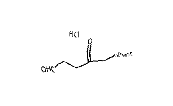 CCCCCCC(=O)CCC=O.Cl